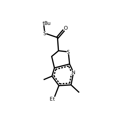 CCc1c(C)nc2c(c1C)CC(C(=O)SC(C)(C)C)S2